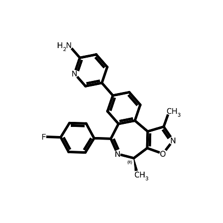 Cc1noc2c1-c1ccc(-c3ccc(N)nc3)cc1C(c1ccc(F)cc1)=N[C@@H]2C